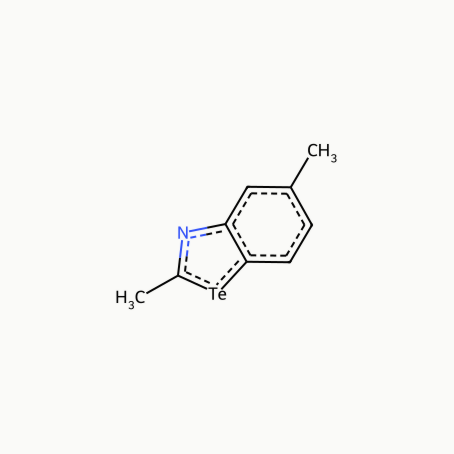 Cc1ccc2[te]c(C)nc2c1